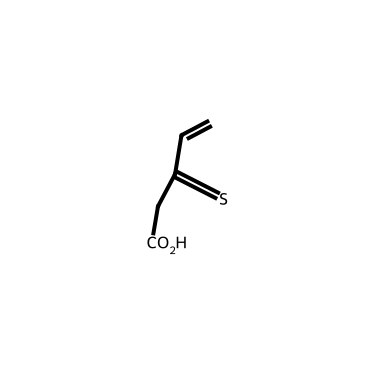 C=CC(=S)CC(=O)O